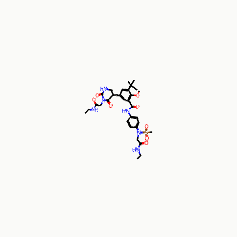 CCNC(=O)CN1C(=O)NCC(c2cc(C(=O)Nc3ccc(N(CC(=O)NCC)S(C)(=O)=O)cc3)c(OC)c(C(C)(C)C)c2)C1=O